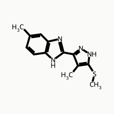 CSc1[nH]nc(-c2nc3cc(C)ccc3[nH]2)c1C